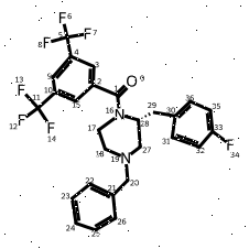 O=C(c1cc(C(F)(F)F)cc(C(F)(F)F)c1)N1CCN(Cc2ccccc2)C[C@H]1Cc1ccc(F)cc1